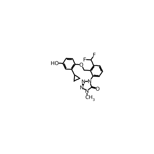 Cn1nnn(-c2cccc(C(F)F)c2COc2ccc(O)cc2C2CC2)c1=O